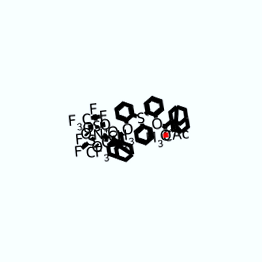 CC(=O)OC(Oc1ccccc1[S+](c1ccccc1)c1ccccc1OC(OC(C)=[N+](S(=O)(=O)C(F)(F)C(F)(F)F)S(=O)(=O)C(F)(F)C(F)(F)F)C12CC3CC(CC(C3)C1C)C2)C12CC3CC(CC(C3)C1C)C2